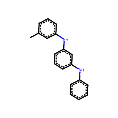 Cc1cccc(Nc2cccc(Nc3ccccc3)c2)c1